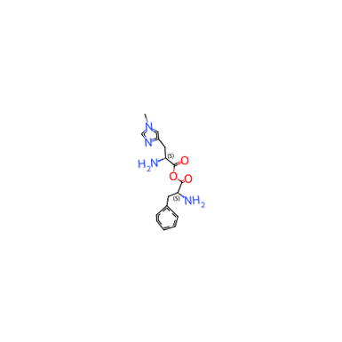 Cn1cnc(C[C@H](N)C(=O)OC(=O)[C@@H](N)Cc2ccccc2)c1